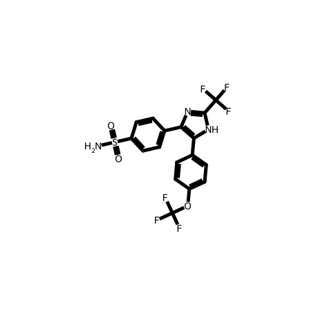 NS(=O)(=O)c1ccc(-c2nc(C(F)(F)F)[nH]c2-c2ccc(OC(F)(F)F)cc2)cc1